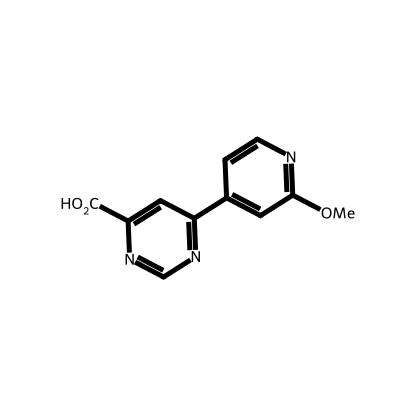 COc1cc(-c2cc(C(=O)O)ncn2)ccn1